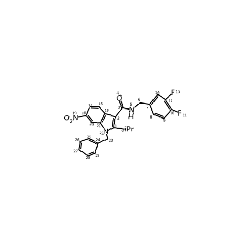 CC(C)c1c(C(=O)NCc2ccc(F)c(F)c2)c2ccc([N+](=O)[O-])cc2n1Cc1ccccc1